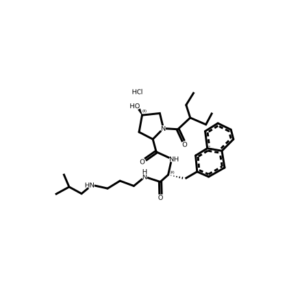 CCC(CC)C(=O)N1C[C@H](O)CC1C(=O)N[C@H](Cc1ccc2ccccc2c1)C(=O)NCCCNCC(C)C.Cl